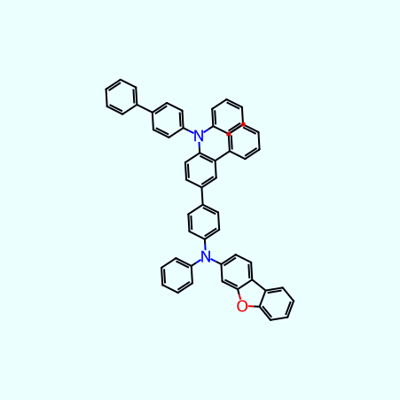 c1ccc(-c2ccc(N(c3ccccc3)c3ccc(-c4ccc(N(c5ccccc5)c5ccc6c(c5)oc5ccccc56)cc4)cc3-c3ccccc3)cc2)cc1